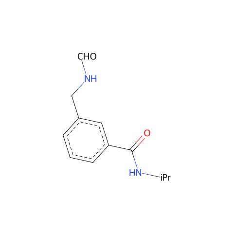 CC(C)NC(=O)c1cccc(CNC=O)c1